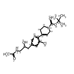 CC(=O)NCC(O)Cc1cnc(C2=CCN(C(=O)OC(C)(C)C)CC2)c(Cl)c1